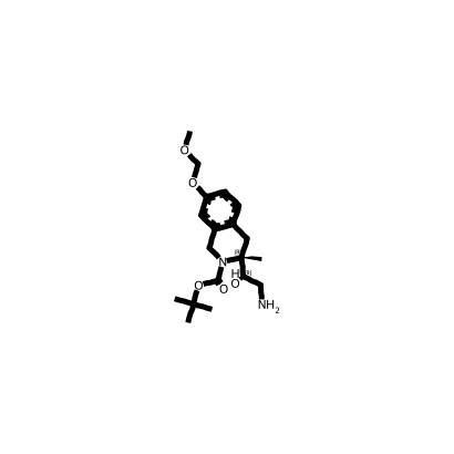 COCOc1ccc2c(c1)CN(C(=O)OC(C)(C)C)[C@@](C)([C@H](O)CN)C2